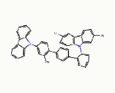 N#Cc1ccc2c(c1)c1ccc(C#N)cc1n2-c1ccccc1-c1ccc(-c2ccc(-n3c4ccccc4c4ccccc43)cc2C#N)cc1